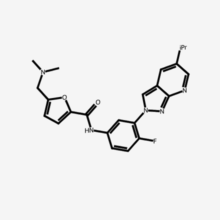 CC(C)c1cnc2nn(-c3cc(NC(=O)c4ccc(CN(C)C)o4)ccc3F)cc2c1